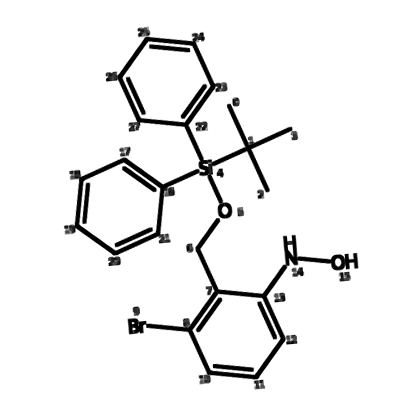 CC(C)(C)[Si](OCc1c(Br)cccc1NO)(c1ccccc1)c1ccccc1